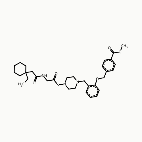 CCC1(CC(=O)NCC(=O)SN2CCN(Cc3ccccc3OCc3ccc(C(=O)OC)cc3)CC2)CCCCC1